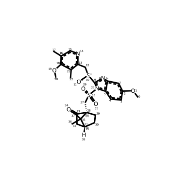 COc1ccc2c(c1)nc([S+]([O-])Cc1ncc(C)c(OC)c1C)n2S(=O)(=O)C[C@@]12CC[C@H](CC1=O)C2(C)C